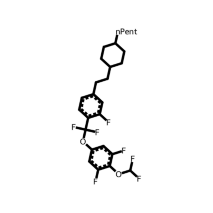 CCCCCC1CCC(CCc2ccc(C(F)(F)Oc3cc(F)c(OC(F)F)c(F)c3)c(F)c2)CC1